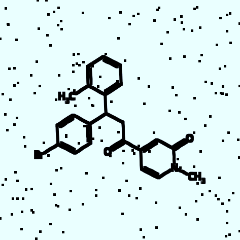 Cc1ccccc1C(CC(=O)c1ccn(C)c(=O)c1)c1ccc(Br)cc1